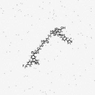 Cc1ncsc1-c1ccc(CNC(=O)[C@@H]2C[C@H](O)CN2C(=O)[C@@H](NC(=O)CCCCCC(=O)NCCOCCOCCNC(=O)c2ccc3c(c2)c2cn(C)nc2n3-c2ccc(C(F)(F)F)cc2)C(C)(C)C)cc1